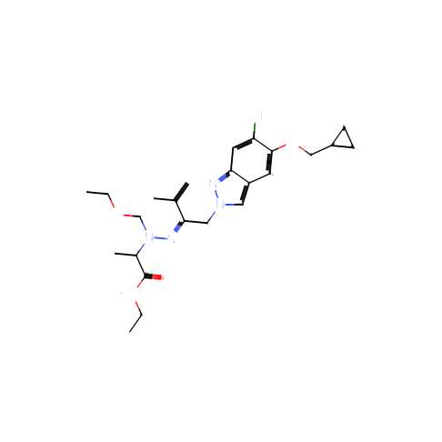 C=C(C)/C(Cn1cc2cc(OCC3CC3)c(Cl)cc2n1)=N\N(COCC)C(C)C(=O)OCC